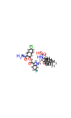 C[C@@H](NC(=O)O)C(CCn1cc(C(=O)COc2cc3ccc(Cl)cc3cc2C(N)=O)c2ccc(F)cc21)O[Si](C)(C)C(C)(C)C